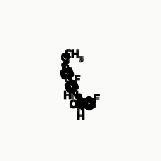 COCCN1CCN(c2ccc(NC=C3C(=O)Nc4ccc(F)cc43)cc2F)CC1